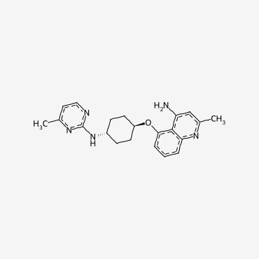 Cc1ccnc(N[C@H]2CC[C@H](Oc3cccc4nc(C)cc(N)c34)CC2)n1